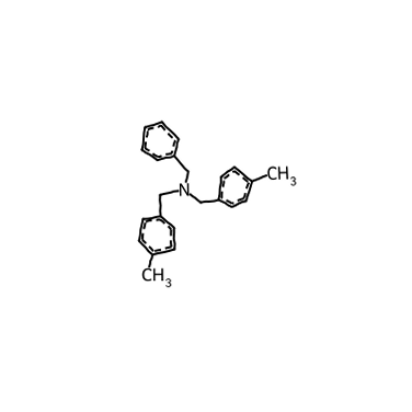 Cc1ccc(CN(Cc2ccccc2)Cc2ccc(C)cc2)cc1